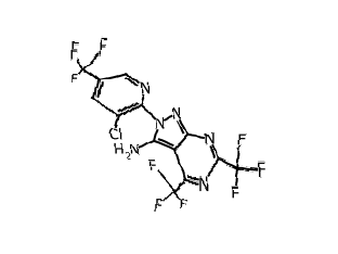 Nc1c2c(C(F)(F)F)nc(C(F)(F)F)nc2nn1-c1ncc(C(F)(F)F)cc1Cl